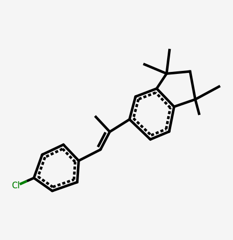 CC(=Cc1ccc(Cl)cc1)c1ccc2c(c1)C(C)(C)CC2(C)C